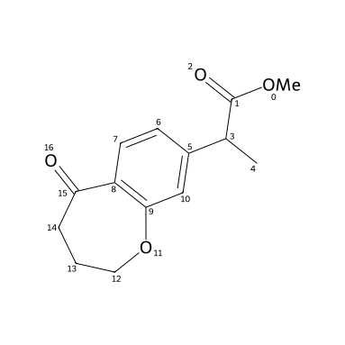 COC(=O)C(C)c1ccc2c(c1)OCCCC2=O